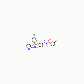 O=C(Nc1ccc(CN(Cc2ccccn2)S(=O)(=O)c2ccc(Cl)cc2)cc1)C(O)c1cccc(Cl)c1